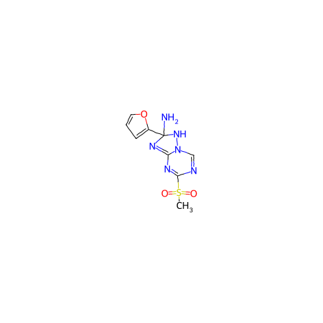 CS(=O)(=O)C1=NC2=NC(N)(c3ccco3)NN2C=N1